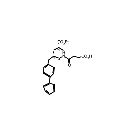 CCOC(=O)[C@H](C)C[C@@H](Cc1ccc(-c2ccccc2)cc1)SNC(=O)CCC(=O)O